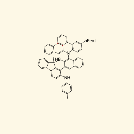 CCCCCc1ccc(N2C3=C(Bc4c(-c5c(Nc6ccc(C)cc6)ccc6c5C(C)(C)c5ccccc5-6)cc5ccccc5c42)c2ccccc2CC3)c(-c2ccccc2)c1